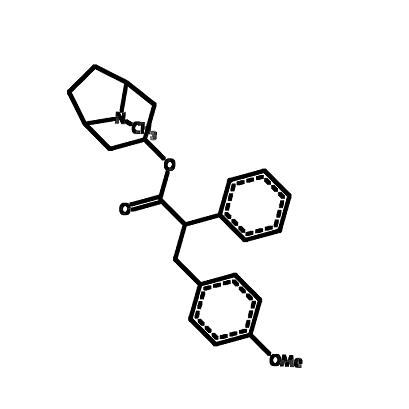 COc1ccc(CC(C(=O)OC2CC3CCC(C2)N3C)c2ccccc2)cc1